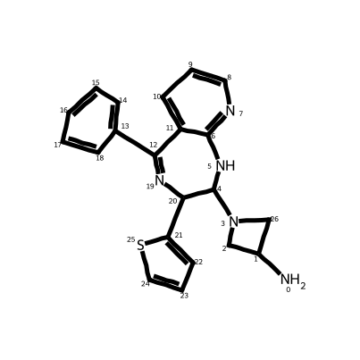 NC1CN(C2Nc3ncccc3C(c3ccccc3)=NC2c2cccs2)C1